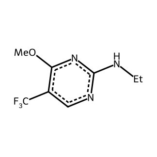 CCNc1ncc(C(F)(F)F)c(OC)n1